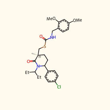 CCC(CC)N1C(=O)[C@@](C)(CSC(=O)NCc2ccc(OC)cc2OC)CCC1c1ccc(Cl)cc1